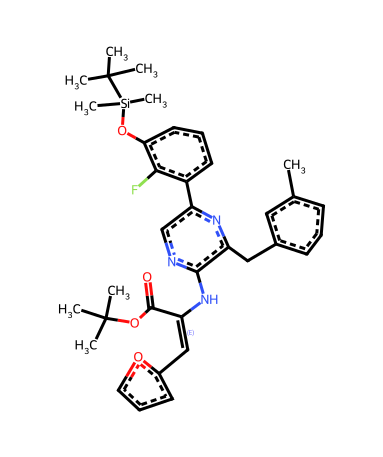 Cc1cccc(Cc2nc(-c3cccc(O[Si](C)(C)C(C)(C)C)c3F)cnc2N/C(=C/c2ccco2)C(=O)OC(C)(C)C)c1